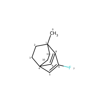 CC12CCC3(C=C(F)C1=C3)CC2